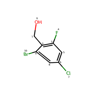 OCc1c(F)cc(Cl)cc1Br